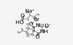 CC(Br)CCC(=O)O.CCCC(C)C1(CC)C(=O)N=C([O-])NC1=O.[Na+]